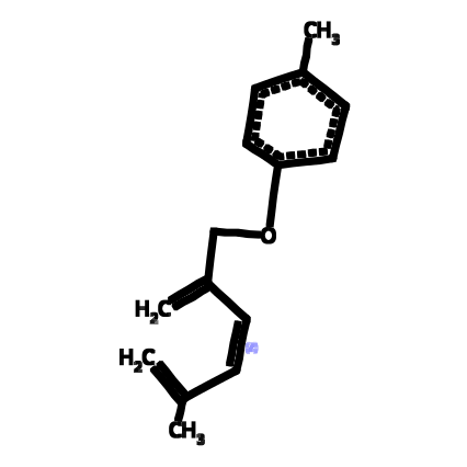 C=C(C)/C=C\C(=C)COc1ccc(C)cc1